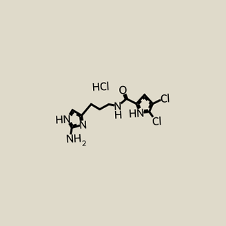 Cl.Nc1nc(CCCNC(=O)c2cc(Cl)c(Cl)[nH]2)c[nH]1